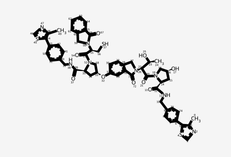 Cc1ncsc1-c1ccc(CNC(=O)[C@@H]2C[C@@H](O)CN2C(=O)[C@H]([C@H](C)O)N2Cc3ccc(O[C@@H]4C[C@@H](C(=O)NCc5ccc(-c6scnc6C)cc5)N(C(=O)[C@H](CS)N5Cc6ccccc6C5=O)C4)cc3C2=O)cc1